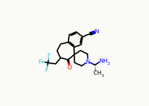 C[C@@H](N)N1CCC2(CC1)C(=O)C(CC(F)(F)F)CCc1ccc(C#N)cc12